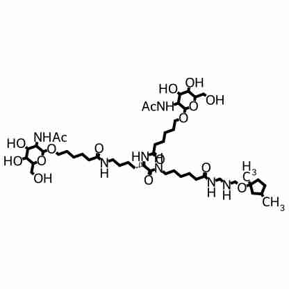 CC(=O)NC1C(OCCCCCC(=O)NCCCC[C@H](NC(=O)CCCCCOC2OC(CO)C(O)C(O)C2NC(C)=O)C(=O)NCCCCCC(=O)NCNCOC2(C)CCC(C)C2)OC(CO)C(O)C1O